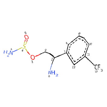 NC(COS(N)=O)c1cccc(C(F)(F)F)c1